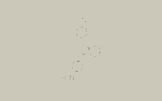 N#Cc1ccc(-c2oc(-c3ccc(N)cc3)c3ccccc23)cc1